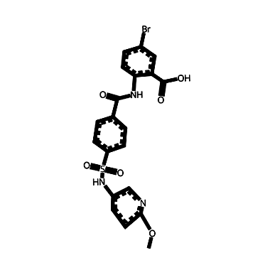 COc1ccc(NS(=O)(=O)c2ccc(C(=O)Nc3ccc(Br)cc3C(=O)O)cc2)cn1